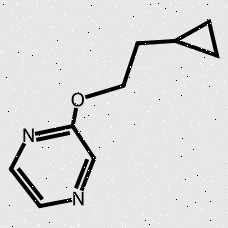 c1cnc(OCCC2CC2)cn1